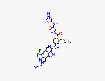 CCc1cc(Nc2nccn3c(-c4cn(CC#N)nc4C(F)(F)F)cnc23)ccc1C(=O)NCC(=O)N[C@@H]1CCNC1